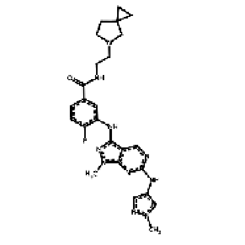 Cn1cc(Nc2ncc3c(Nc4cc(C(=O)NCCN5CCC6(CC6)C5)ccc4F)nn(C)c3n2)cn1